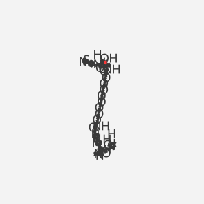 Cc1cc(C)c(CNC(=O)c2cc(-c3ccc(N4CCN(CCC(=O)NCCOCCOCCOCCOCCOCCOCCOCCOCCC(=O)N[C@H](C(=O)N5C[C@H](O)C[C@H]5C(=O)NCc5ccc(-c6scnc6C)cc5)C(C)(C)C)CC4)nc3)cc3c2cnn3C(C)C)c(=O)[nH]1